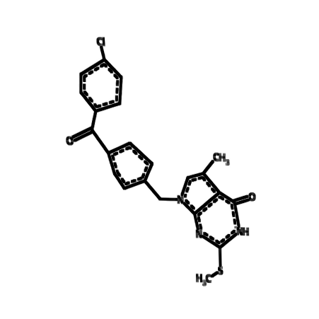 CSc1nc2c(c(C)cn2Cc2ccc(C(=O)c3ccc(Cl)cc3)cc2)c(=O)[nH]1